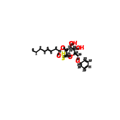 CCCCCCCC(=O)O[C@H]1[C@@H](O)[C@H](O)[C@@H](COc2ccccc2)O[C@H]1S